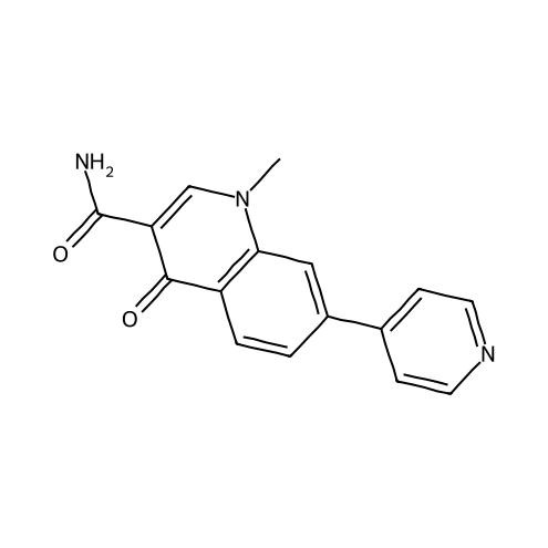 Cn1cc(C(N)=O)c(=O)c2ccc(-c3ccncc3)cc21